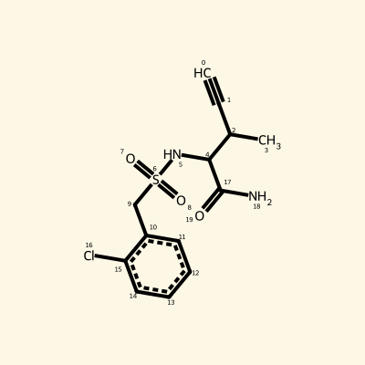 C#CC(C)C(NS(=O)(=O)Cc1ccccc1Cl)C(N)=O